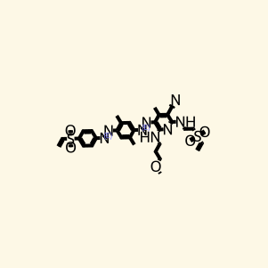 C=CS(=O)(=O)CCNc1nc(NCCCOC)c(/N=N/c2cc(C)c(/N=N/c3ccc(S(=O)(=O)C=C)cc3)cc2C)c(C)c1C#N